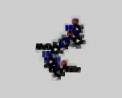 CNC(=O)c1ccccc1Nc1cc(Nc2ccc(N3CCN(Cc4ccccc4N4CCC(=O)NC4=O)CC3)cc2OC)ncc1C(F)(F)F